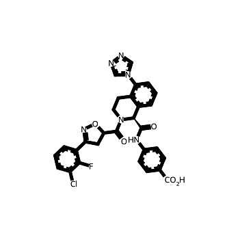 O=C(O)c1ccc(NC(=O)[C@@H]2c3cccc(-n4cnnc4)c3CCN2C(=O)C2CC(c3cccc(Cl)c3F)=NO2)cc1